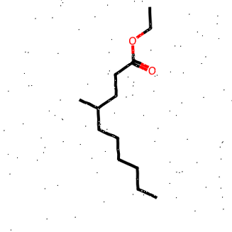 CCCCCCC(C)CCC(=O)OCC